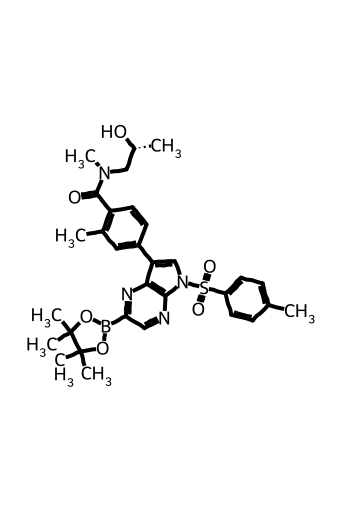 Cc1ccc(S(=O)(=O)n2cc(-c3ccc(C(=O)N(C)C[C@@H](C)O)c(C)c3)c3nc(B4OC(C)(C)C(C)(C)O4)cnc32)cc1